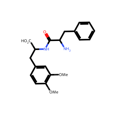 COc1ccc(CC(NC(=O)C(N)Cc2ccccc2)C(=O)O)cc1OC